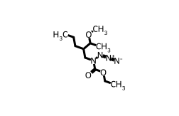 CCCC(CN(N=[N+]=[N-])C(=O)OCC)C(C)OC